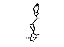 Cc1nc2nc[nH]c2cc1-c1ccc(CNC2Cc3ccccc3C2)cc1